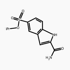 CC(C)OS(=O)(=O)c1ccc2[nH]c(C(N)=O)cc2c1